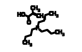 C=C(C)C(=O)O.CCCCP(CCCC)CCCC